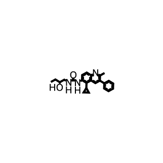 CCC(O)CNC(=O)Nc1ccc2nc(C)c(-c3ccccc3)cc2c1C1CC1